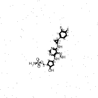 N=Nc1c(N[C@H]2CC(O)[C@H](COS(N)(=O)=O)C2)ncnc1N[C@@H]1C[C@H]1c1ccc(F)c(F)c1